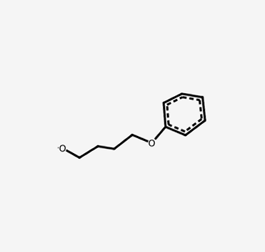 [O]CCCCOc1ccccc1